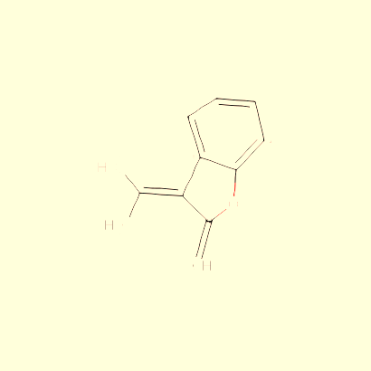 C=c1oc2ccccc2c1=C(C)C